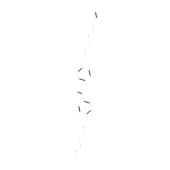 C=CCCCCCCOc1ccc(OC(=O)c2ccc(OCCCCCC)cc2)cc1